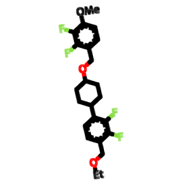 CCOCc1ccc(C2CCC(OCc3ccc(OC)c(F)c3F)CC2)c(F)c1F